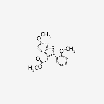 COC(=O)Cc1c(-c2ccccc2OC)sc2cc(OC)ccc12